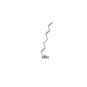 C=CC=CCCC=CCCCC